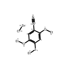 CCOc1cc(SCC)c(OCC)cc1[N+]#N.[Cl][Zn-]